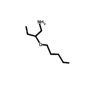 CCCCCOC(CC)CN